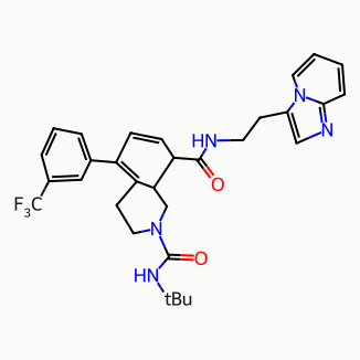 CC(C)(C)NC(=O)N1CCC2=C(c3cccc(C(F)(F)F)c3)C=CC(C(=O)NCCc3cnc4ccccn34)C2C1